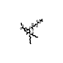 CCCCCCN(C(=O)CCCC)C(CC(OC(=O)NCCNC(=O)OC(C)(C)C)c1nc(C(=O)OCC)cs1)C(C)C